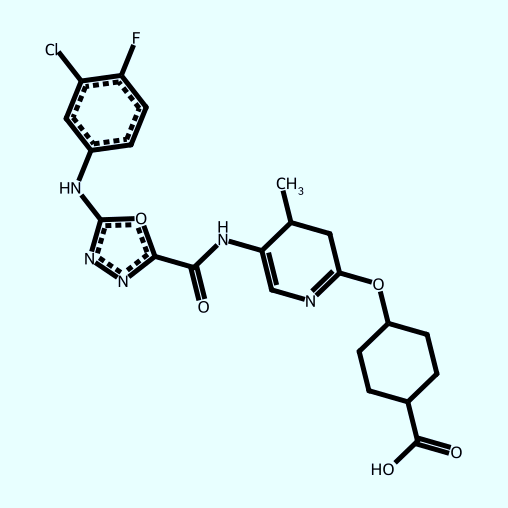 CC1CC(OC2CCC(C(=O)O)CC2)=NC=C1NC(=O)c1nnc(Nc2ccc(F)c(Cl)c2)o1